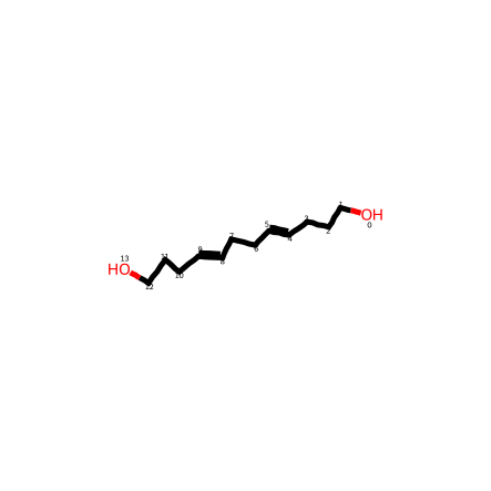 OCCCC=CCCC=CCCCO